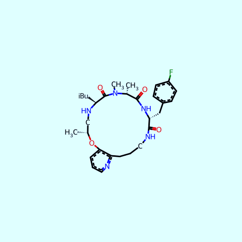 CCC(C)[C@@H]1NC[C@@H](C)Oc2cccnc2CCCNC(=O)[C@@H](Cc2ccc(F)cc2)NC(=O)[C@@H](C)N(C)C1=O